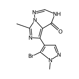 Cc1nc(-c2cnn(C)c2Br)c2c(=O)[nH]cnn12